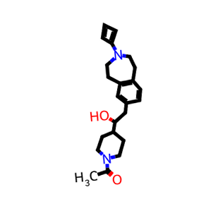 CC(=O)N1CCC(C(O)Cc2ccc3c(c2)CCN(C2=CC=C2)CC3)CC1